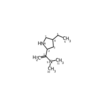 C=C(C1CC(CC)CN1)N(C)C